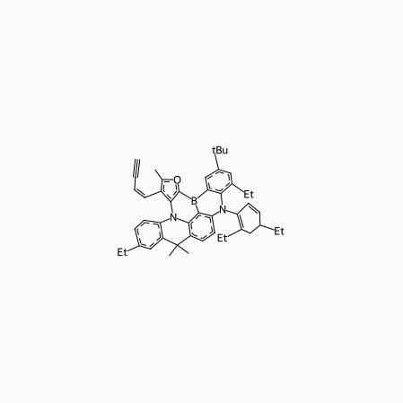 C#C/C=C\c1c(C)oc2c1N1c3ccc(CC)cc3C(C)(C)c3ccc4c(c31)B2c1cc(C(C)(C)C)cc(CC)c1N4C1=C(CC)CC(CC)C=C1